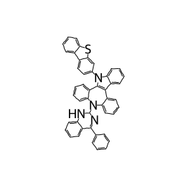 c1ccc(C2=NC(N3c4ccccc4-c4c(n(-c5ccc6c(c5)sc5ccccc56)c5ccccc45)-c4ccccc43)Nc3ccccc32)cc1